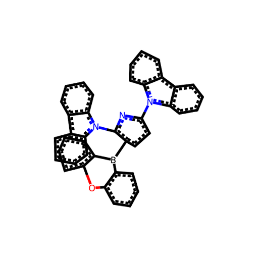 c1ccc2c(c1)Oc1ccccc1B2c1ccc(-n2c3ccccc3c3ccccc32)nc1-n1c2ccccc2c2ccccc21